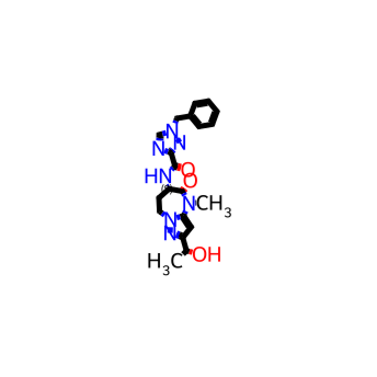 CC(O)c1cc2n(n1)CC[C@H](NC(=O)c1ncn(Cc3ccccc3)n1)C(=O)N2C